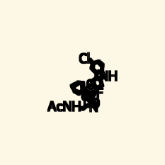 CC(=O)NCc1noc(C(F)(C2Cc3[nH]c4ccc(Cl)cc4c3C2)S(=O)(=O)c2ccccc2)n1